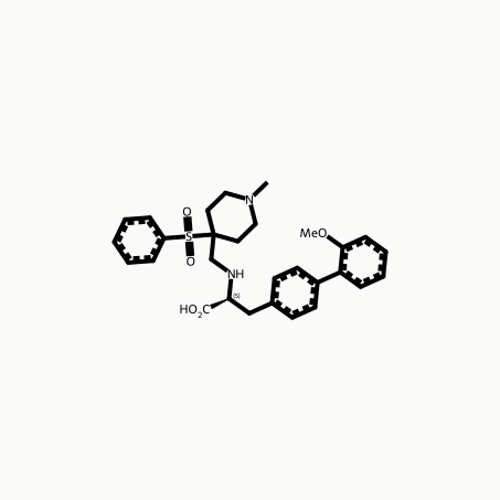 COc1ccccc1-c1ccc(C[C@H](NCC2(S(=O)(=O)c3ccccc3)CCN(C)CC2)C(=O)O)cc1